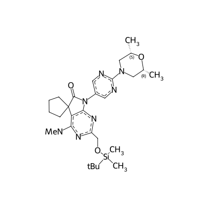 CNc1nc(CO[Si](C)(C)C(C)(C)C)nc2c1C1(CCCC1)C(=O)N2c1cnc(N2C[C@@H](C)O[C@@H](C)C2)nc1